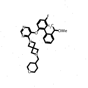 COC(C)c1ccccc1-c1cc(F)ccc1Oc1cncnc1N1CC2(CN(CC3CCOCC3)C2)C1